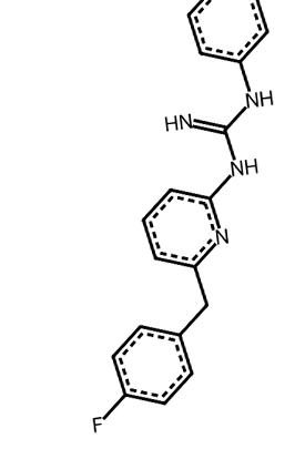 N=C(Nc1ccccc1)Nc1cccc(Cc2ccc(F)cc2)n1